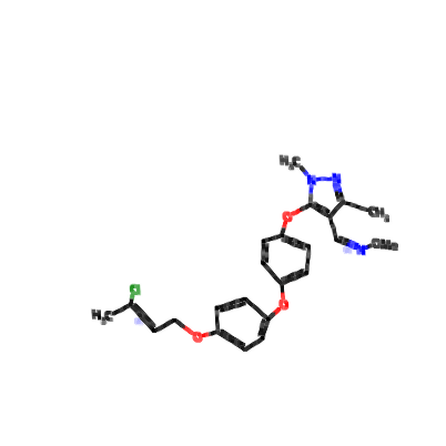 CO/N=C\c1c(C)nn(C)c1Oc1ccc(Oc2ccc(OC/C=C(/C)Cl)cc2)cc1